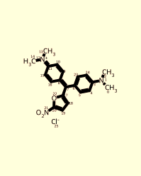 CN(C)c1ccc(C(=C2C=CC(=[N+](C)C)C=C2)c2ccc([N+](=O)[O-])o2)cc1.[Cl-]